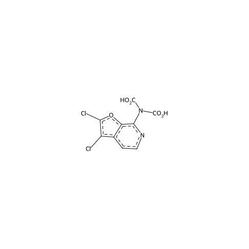 O=C(O)N(C(=O)O)c1nccc2c(Cl)c(Cl)oc12